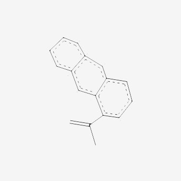 [CH]=C(C)c1cccc2cc3ccccc3cc12